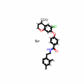 Cc1ccc(CCNC(=O)c2ccc(Oc3cc4c(cc3Cl)C(C(=O)[O-])CCO4)cc2)c(C)c1.[Na+]